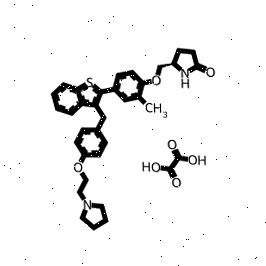 Cc1cc(-c2sc3ccccc3c2Cc2ccc(OCCN3CCCC3)cc2)ccc1OC[C@H]1CCC(=O)N1.O=C(O)C(=O)O